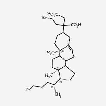 CC(C)CCC[C@@H](C)[C@H]1CCC2C3CC=C4CC(C(CCBr)(CC(=O)O)C(=O)O)CC[C@]4(C)C3CC[C@@]21C